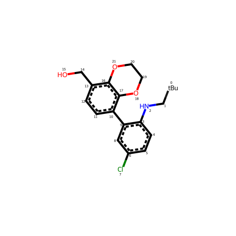 CC(C)(C)CNc1ccc(Cl)cc1-c1ccc(CO)c2c1OCCO2